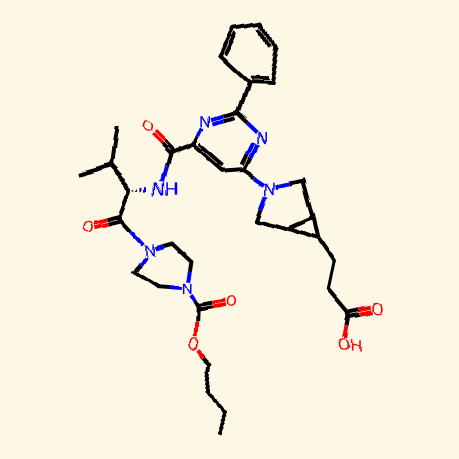 CCCCOC(=O)N1CCN(C(=O)[C@@H](NC(=O)c2cc(N3CC4C(CCC(=O)O)C4C3)nc(-c3ccccc3)n2)C(C)C)CC1